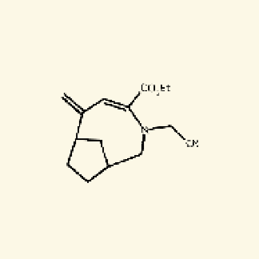 C=C1/C=C(/C(=O)OCC)N(CC#N)CC2CCC1C2